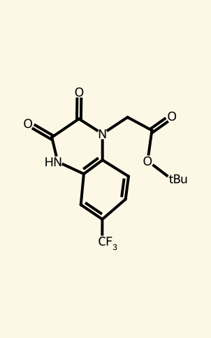 CC(C)(C)OC(=O)Cn1c(=O)c(=O)[nH]c2cc(C(F)(F)F)ccc21